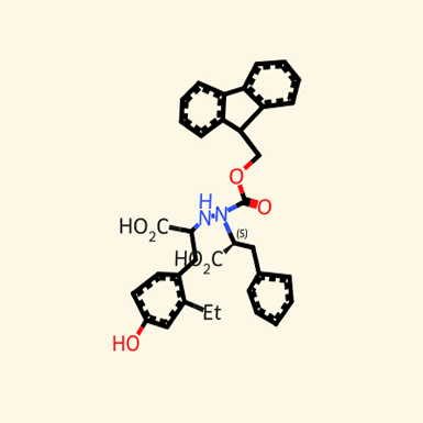 CCc1cc(O)ccc1CC(NN(C(=O)OCC1c2ccccc2-c2ccccc21)[C@@H](Cc1ccccc1)C(=O)O)C(=O)O